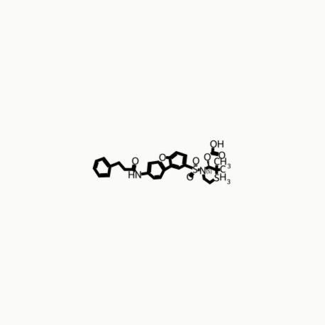 CC1(C)SCCN(S(=O)(=O)c2ccc3oc4cc(NC(=O)CCc5ccccc5)ccc4c3c2)[C@H]1OC(=O)O